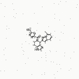 Cc1cccc2cc([C@H]3c4nc[nH]c4CCN3C(=O)c3nnc(C(C)(C)C)o3)nn12